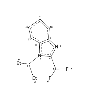 CCC(CC)n1c(C(F)F)nc2ccccc21